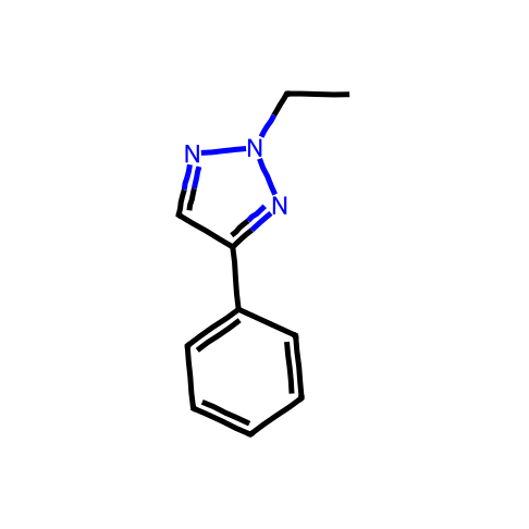 CCn1ncc(-c2ccccc2)n1